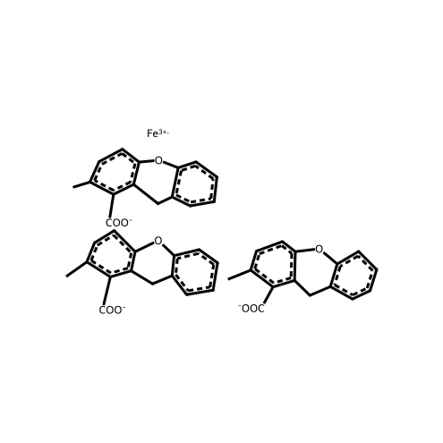 Cc1ccc2c(c1C(=O)[O-])Cc1ccccc1O2.Cc1ccc2c(c1C(=O)[O-])Cc1ccccc1O2.Cc1ccc2c(c1C(=O)[O-])Cc1ccccc1O2.[Fe+3]